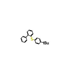 CC(C)(C)c1ccc(Sc2ccccc2-c2ccccc2)cc1